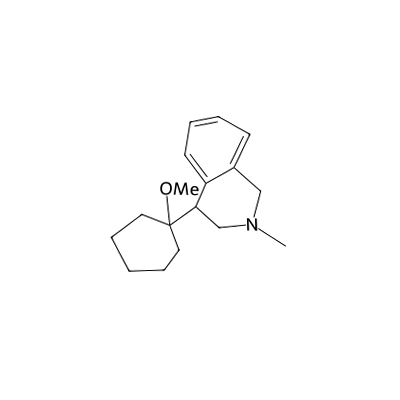 COC1(C2CN(C)Cc3ccccc32)CCCCC1